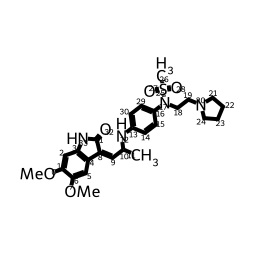 COc1cc2c(cc1OC)C(=CC(C)Nc1ccc(N(CCN3CCCC3)S(C)(=O)=O)cc1)C(=O)N2